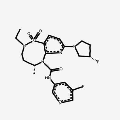 CCN1CC[C@@H](C)N(C(=O)Nc2cncc(F)c2)c2nc(N3CC[C@H](F)C3)ccc2S1(=O)=O